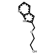 OCCOCc1[c]c2cccnc2[nH]1